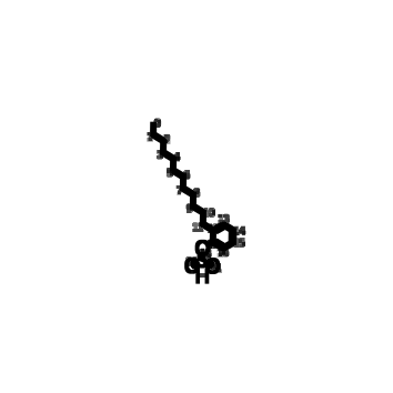 CCCCCCCCCCCCc1ccccc1O[SH](=O)=O